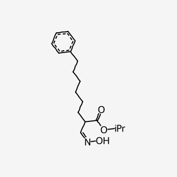 CC(C)OC(=O)C(/C=N\O)CCCCCCc1ccccc1